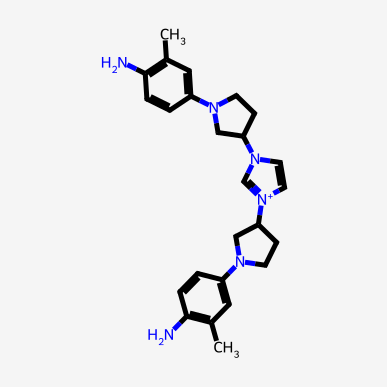 Cc1cc(N2CCC(n3cc[n+](C4CCN(c5ccc(N)c(C)c5)C4)c3)C2)ccc1N